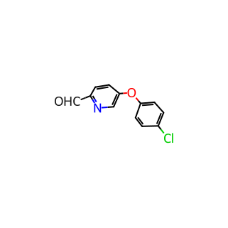 O=Cc1ccc(Oc2ccc(Cl)cc2)cn1